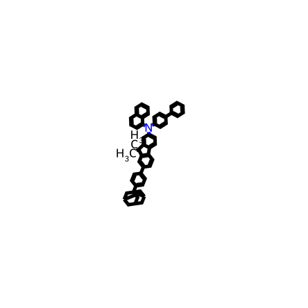 CC1(C)c2cc(-c3ccc(C45CC6CC(CC(C6)C4)C5)cc3)ccc2-c2ccc(N(c3ccc(-c4ccccc4)cc3)c3cccc4ccccc34)cc21